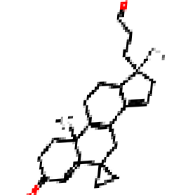 CC12CCC(=O)C=C1C1(CC1)CC1=C2CCC2C1=CC[C@@]2(C)CCC=O